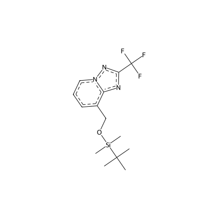 CC(C)(C)[Si](C)(C)OCc1cccn2nc(C(F)(F)F)nc12